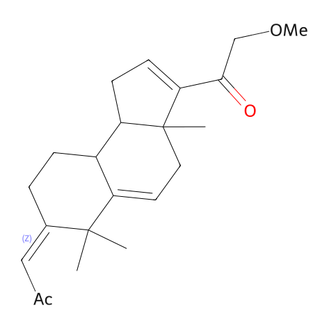 COCC(=O)C1=CCC2C3CC/C(=C/C(C)=O)C(C)(C)C3=CCC12C